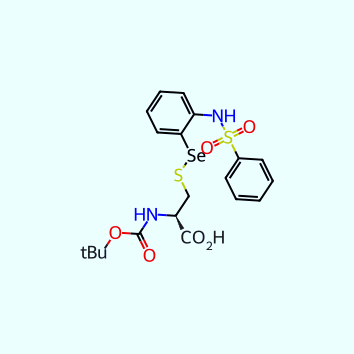 CC(C)(C)OC(=O)N[C@@H](CS[Se]c1ccccc1NS(=O)(=O)c1ccccc1)C(=O)O